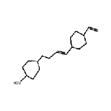 C=CC1CCC(C=CCCC2CCC(CCCC)CC2)CC1